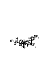 CC(C)(C)C(=O)NCc1ccc(Cl)c(Nc2nc3cc(C(=O)N[C@H]4CC[C@H](C(F)(F)F)CC4)c(OCC(F)(F)F)c(F)c3[nH]2)c1Cl